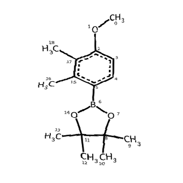 COc1ccc(B2OC(C)(C)C(C)(C)O2)c(C)c1C